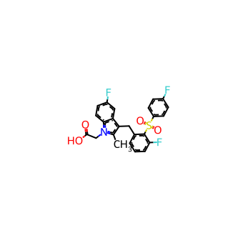 Cc1c(Cc2cccc(F)c2S(=O)(=O)c2ccc(F)cc2)c2cc(F)ccc2n1CC(=O)O